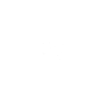 CS(=O)(=O)N=Cc1ccc(C(=O)O)cc1.CS(=O)(=O)N=Cc1ccccc1